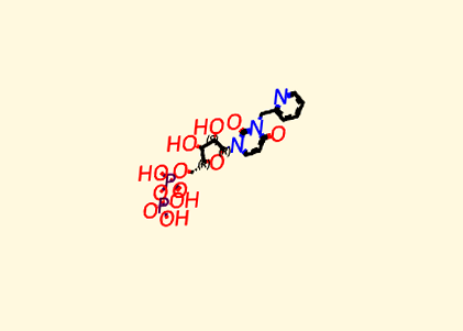 O=c1ccn([C@@H]2O[C@H](COP(=O)(O)OP(=O)(O)O)C(O)[C@@H]2O)c(=O)n1Cc1ccccn1